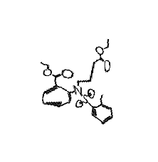 CCOC(=O)CCCN(c1ccccc1C(=O)OCC)S(=O)(=O)c1ccccc1C